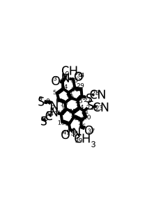 CN1C(=O)c2cc(N=C=S)c3c4c(N=C=S)cc5c6c(cc(SC#N)c(c7c(SC#N)cc(c2c37)C1=O)c64)C(=O)N(C)C5=O